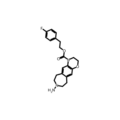 NN1CCc2cc3c(cc2CC1)N(C(=O)OCCc1ccc(F)cc1)CCO3